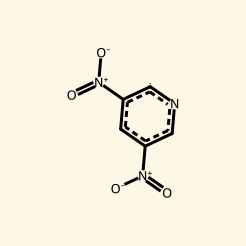 O=[N+]([O-])c1[c]ncc([N+](=O)[O-])c1